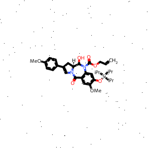 C=CCOC(=O)N1c2cc(O[Si](C(C)C)(C(C)C)C(C)C)c(OC)cc2C(=O)N2C=C(c3ccc(OC)cc3)C[C@H]2C1O